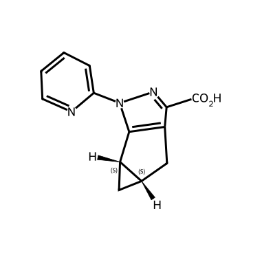 O=C(O)c1nn(-c2ccccn2)c2c1C[C@@H]1C[C@H]21